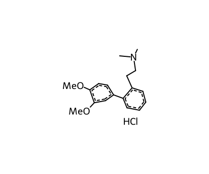 COc1ccc(-c2ccccc2CCN(C)C)cc1OC.Cl